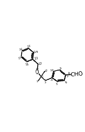 CC(C)(Cc1ccc(C=O)cc1)OCc1ccccc1